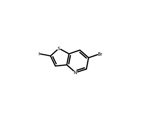 Brc1cnc2cc(I)sc2c1